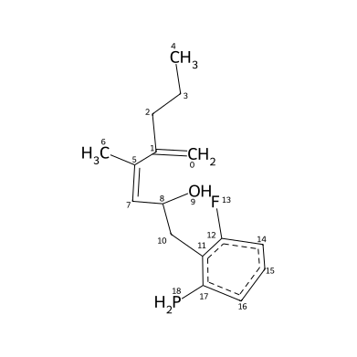 C=C(CCC)/C(C)=C\C(O)Cc1c(F)cccc1P